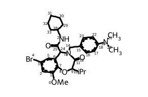 COc1cc(Br)cc2c1OC(C(C)C)C(=O)N(Cc1ccc(N(C)C)cc1)C2C(=O)NC1CCCCC1